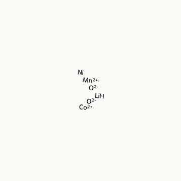 [Co+2].[LiH].[Mn+2].[Ni].[O-2].[O-2]